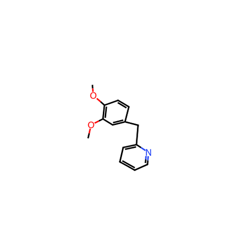 COc1ccc(Cc2ccccn2)cc1OC